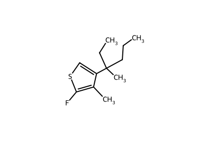 CCCC(C)(CC)c1csc(F)c1C